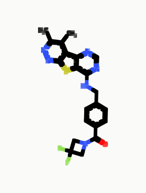 Cc1nnc2sc3c(NCc4ccc(C(=O)N5CC(F)(F)C5)cc4)ncnc3c2c1C